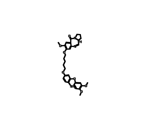 COc1ccc(Oc2cc(OCCCCCOc3cc4c(cc3OC)C(=O)N3CCC[C@H]3C=N4)ccc2N)cc1OC